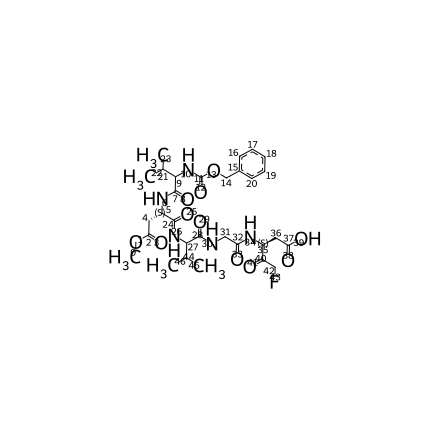 COC(=O)C[C@H](NC(=O)C(NC(=O)OCc1ccccc1)C(C)C)C(=O)NC(C(=O)NCC(=O)N[C@@H](CC(=O)O)C(=O)CF)C(C)C